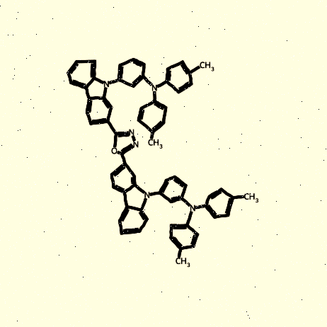 Cc1ccc(N(c2ccc(C)cc2)c2cccc(-n3c4ccccc4c4ccc(-c5nnc(-c6ccc7c8ccccc8n(-c8cccc(N(c9ccc(C)cc9)c9ccc(C)cc9)c8)c7c6)o5)cc43)c2)cc1